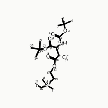 CC(C)(C)OC(=O)NC(CC(=O)OCC[N+](C)(C)CF)C(=O)OC(C)(C)C.[Cl-]